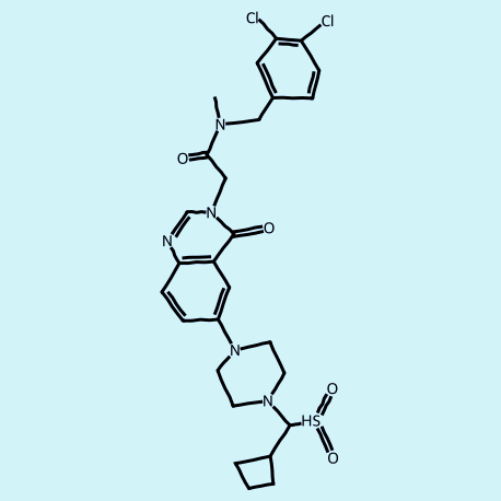 CN(Cc1ccc(Cl)c(Cl)c1)C(=O)Cn1cnc2ccc(N3CCN(C(C4CCC4)[SH](=O)=O)CC3)cc2c1=O